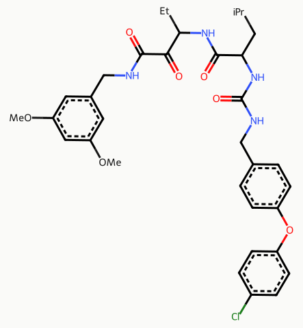 CCC(NC(=O)C(CC(C)C)NC(=O)NCc1ccc(Oc2ccc(Cl)cc2)cc1)C(=O)C(=O)NCc1cc(OC)cc(OC)c1